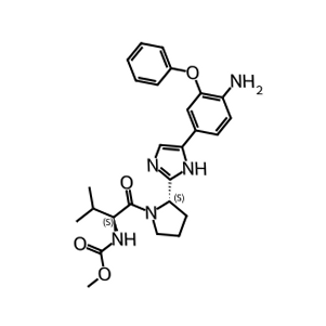 COC(=O)N[C@H](C(=O)N1CCC[C@H]1c1ncc(-c2ccc(N)c(Oc3ccccc3)c2)[nH]1)C(C)C